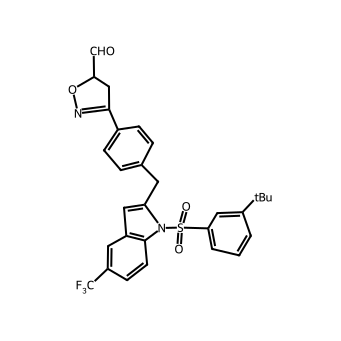 CC(C)(C)c1cccc(S(=O)(=O)n2c(Cc3ccc(C4=NOC(C=O)C4)cc3)cc3cc(C(F)(F)F)ccc32)c1